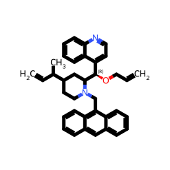 C=CCO[C@H](c1ccnc2ccccc12)C1CC(C(C)C=C)CCN1Cc1c2ccccc2cc2ccccc12